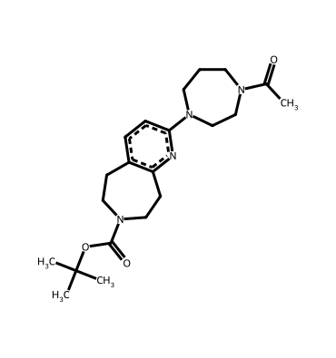 CC(=O)N1CCCN(c2ccc3c(n2)CCN(C(=O)OC(C)(C)C)CC3)CC1